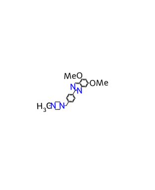 COc1cc(OC)c2cnc(-c3ccc(CN4CCN(C)CC4)cc3)nc2c1